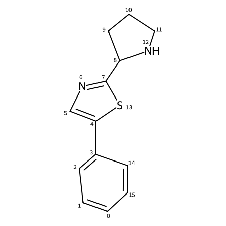 c1ccc(-c2cnc(C3CCCN3)s2)cc1